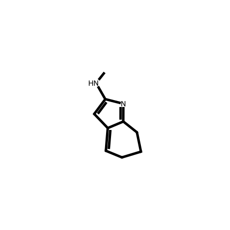 CNC1=CC2=CCCCC2=N1